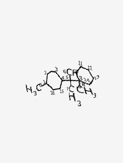 CC1CCC(C(C)(C)C2(C)CCCCC2)CC1